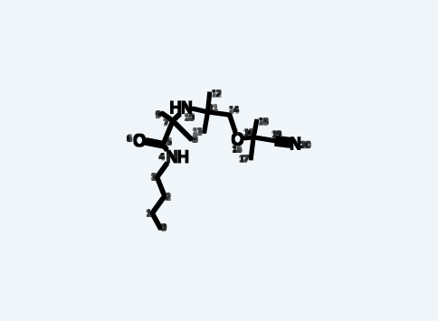 CCCCNC(=O)C(C)(C)NC(C)(C)COC(C)(C)C#N